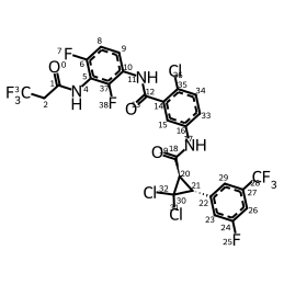 O=C(CC(F)(F)F)Nc1c(F)ccc(NC(=O)c2cc(NC(=O)[C@H]3[C@H](c4cc(F)cc(C(F)(F)F)c4)C3(Cl)Cl)ccc2Cl)c1F